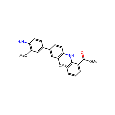 COC(=O)c1ccccc1Nc1ccc(-c2ccc(N)c(OC)c2)cc1OC